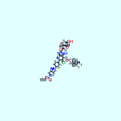 CC(C)(C)OC(=O)N1Cc2cn(-c3ccc(-c4nc5nc(O[C@@H]6CO[C@H]7[C@@H]6OC[C@H]7O)[nH]c5c(COCC[Si](C)(C)C)c4Cl)cc3)nc2C1